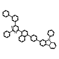 C1=CC2c3ccc(-c4ccc(-c5ccc(-c6cc(-c7cccc(-c8ccccc8)c7)nc(-c7ccccc7)n6)c6ccccc56)cc4)cc3N(c3ccccc3)C2C=C1